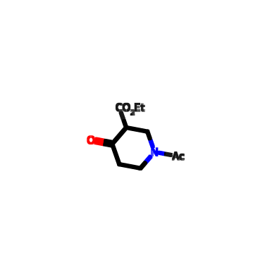 CCOC(=O)C1CN(C(C)=O)CCC1=O